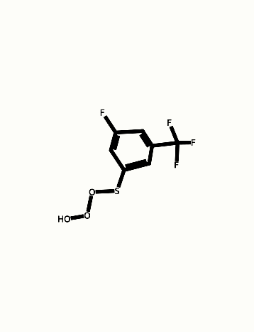 OOOSc1cc(F)cc(C(F)(F)F)c1